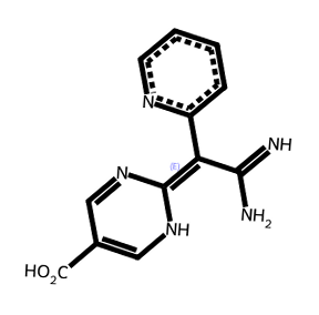 N=C(N)/C(=C1/N=CC(C(=O)O)=CN1)c1ccccn1